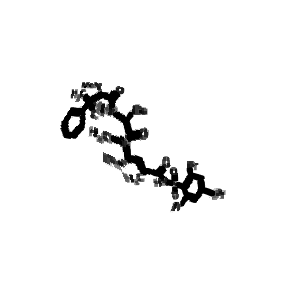 CN[C@H](C(=O)N[C@H](C(=O)N(C)[C@H](/C=C(\C)C(=O)NS(=O)(=O)c1c(C(C)C)cc(C(C)C)cc1C(C)C)C(C)C)C(C)(C)C)C(C)(C)c1ccccc1